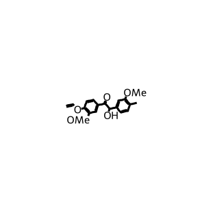 C=COc1ccc(C(=O)C(O)c2ccc(C)c(OC)c2)cc1OC